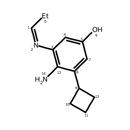 CC/C=N\c1cc(O)cc(C2CCC2)c1N